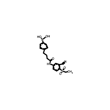 CCS(=O)(=O)c1ccc(NC(=O)CCCc2ccc(B(O)O)cc2)cc1C#N